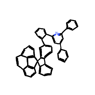 c1ccc(-c2cc(-c3ccccc3)nc(-c3ccccc3-c3ccc4c(c3)C3(c5ccccc5-4)c4cccc5ccc6cccc3c6c45)c2)cc1